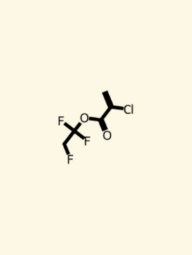 C=C(Cl)C(=O)OC(F)(F)CF